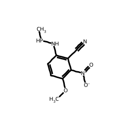 COc1ccc(NPC)c(C#N)c1[N+](=O)[O-]